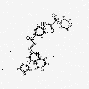 O=C(Nc1ccc(C(=O)C=Cc2cc(-n3cccc3)c3ccccc3n2)cc1)C(=O)N1CCOCC1